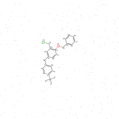 CC(C)(C)c1ccc(Cc2ccc(OCc3ccccc3)c(CCl)c2)cc1